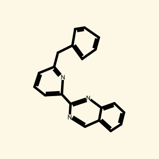 c1ccc(Cc2cccc(-c3ncc4ccccc4n3)n2)cc1